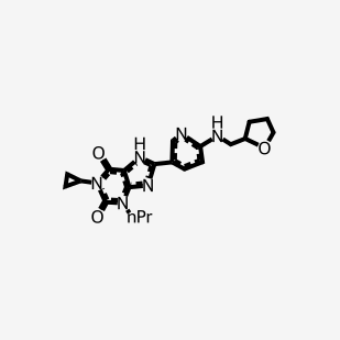 CCCn1c(=O)n(C2CC2)c(=O)c2[nH]c(-c3ccc(NCC4CCCO4)nc3)nc21